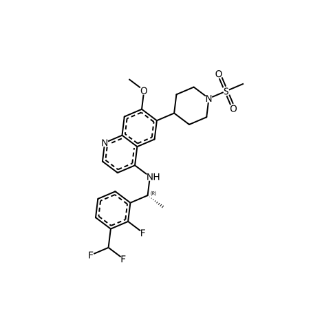 COc1cc2nccc(N[C@H](C)c3cccc(C(F)F)c3F)c2cc1C1CCN(S(C)(=O)=O)CC1